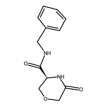 O=C1COC[C@@H](C(=O)NCc2ccccc2)N1